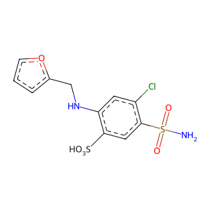 NS(=O)(=O)c1cc(S(=O)(=O)O)c(NCc2ccco2)cc1Cl